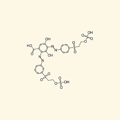 O=C(O)c1cc(O)c(N=Nc2ccc(S(=O)(=O)CCOS(=O)(=O)O)cc2)c(O)c1N=Nc1cccc(S(=O)(=O)CCOS(=O)(=O)O)c1